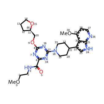 COCCNC(=O)c1nc(OC[C@H]2CCCO2)nc(N2CCC(c3c[nH]c4nccc(OC)c34)CC2)n1